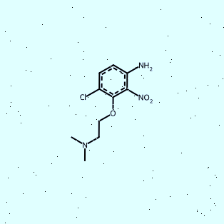 CN(C)CCOc1c(Cl)ccc(N)c1[N+](=O)[O-]